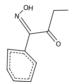 CCC(=O)/C(=N\O)c1ccccc1